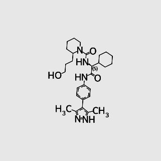 Cc1n[nH]c(C)c1-c1ccc(NC(=O)[C@@H](NC(=O)N2CCCCC2CCCO)C2CCCCC2)cc1